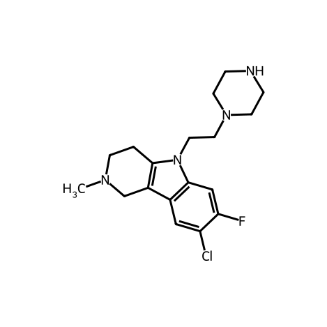 CN1CCc2c(c3cc(Cl)c(F)cc3n2CCN2CCNCC2)C1